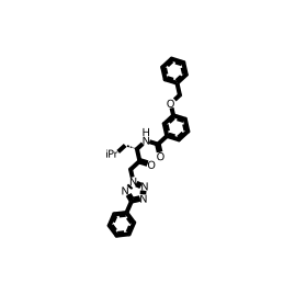 CC(C)C[C@H](NC(=O)c1cccc(OCc2ccccc2)c1)C(=O)Cn1nnc(-c2ccccc2)n1